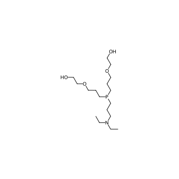 CCN(CC)CCCP(CCCOCCO)CCCOCCO